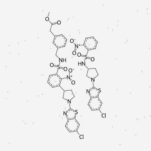 COC(=O)Cc1cccc(CNS(=O)(=O)c2cccc(C3CCN(c4nc5ccc(Cl)cc5s4)C3)c2[N+](=O)[O-])c1.O=[N+]([O-])c1ccccc1S(=O)(=O)NC1CCN(c2nc3ccc(Cl)cc3s2)C1